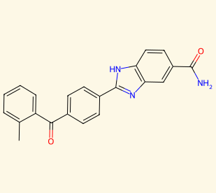 Cc1ccccc1C(=O)c1ccc(-c2nc3cc(C(N)=O)ccc3[nH]2)cc1